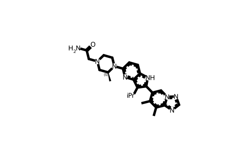 Cc1c(-c2[nH]c3ccc(N4CCN(CC(N)=O)C[C@@H]4C)nc3c2C(C)C)cn2ncnc2c1C